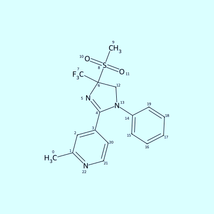 Cc1cc(C2=NC(C(F)(F)F)(S(C)(=O)=O)CN2c2ccccc2)ccn1